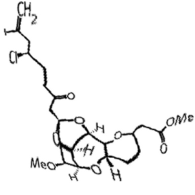 C=C(I)C[C@H](Cl)CCC(=O)C[C@@]12O[C@@H]3[C@@H](O[C@H]4CCC(CC(=O)OC)OC4[C@@H]3O1)[C@H]2OC